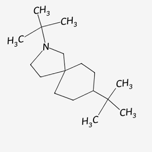 CC(C)(C)C1CCC2(CC1)CCN(C(C)(C)C)C2